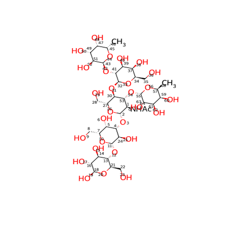 CC(=O)N[C@H]1[C@H](O[C@H]2[C@@H](O)[C@@H](CO)O[C@@H](O[C@H]3[C@H](O)[C@@H](O)[C@H](O)O[C@@H]3CO)[C@@H]2O)O[C@H](CO)[C@@H](O[C@@H]2O[C@H](CO)[C@H](O)[C@H](O)[C@H]2O[C@@H]2O[C@@H](C)[C@@H](O)[C@@H](O)[C@@H]2O)[C@@H]1O[C@@H]1O[C@@H](C)[C@@H](O)[C@@H](O)[C@@H]1O